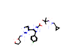 CC1(C(=O)NCC2CC2)COC(c2nc(-c3ccc(F)cc3)c(-c3ccnc(NCC4CCCO4)n3)[nH]2)OC1